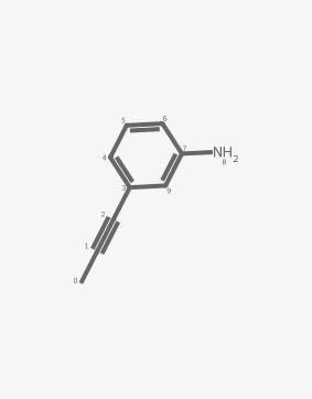 CC#Cc1cccc(N)c1